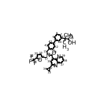 CC(C)(C(=O)O)c1cccc(-c2ccc(CN(Cc3ccc(C(F)(F)F)o3)C(=O)c3cc(C4CC4)nc4cccnc34)cc2)c1